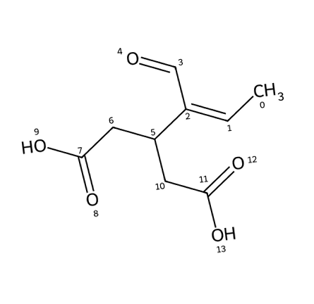 CC=C(C=O)C(CC(=O)O)CC(=O)O